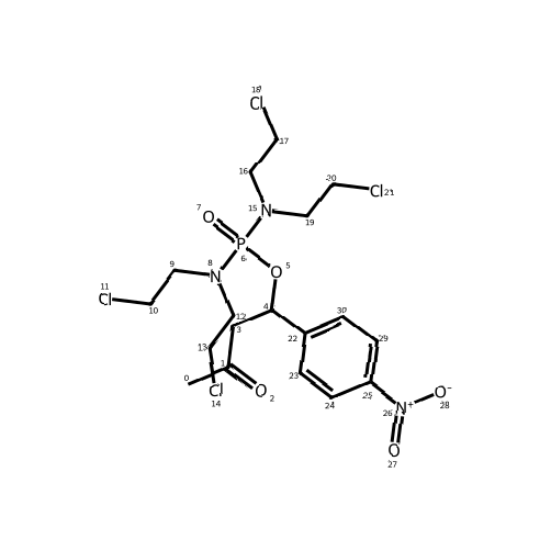 CC(=O)CC(OP(=O)(N(CCCl)CCCl)N(CCCl)CCCl)c1ccc([N+](=O)[O-])cc1